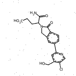 NC(=O)C(CCC(=O)O)N1Cc2cc(-c3cc(CO)c(Cl)cn3)ccc2C1=O